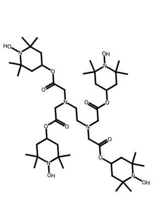 CC1(C)CC(OC(=O)CN(CCN(CC(=O)OC2CC(C)(C)N(O)C(C)(C)C2)CC(=O)OC2CC(C)(C)N(O)C(C)(C)C2)CC(=O)OC2CC(C)(C)N(O)C(C)(C)C2)CC(C)(C)N1O